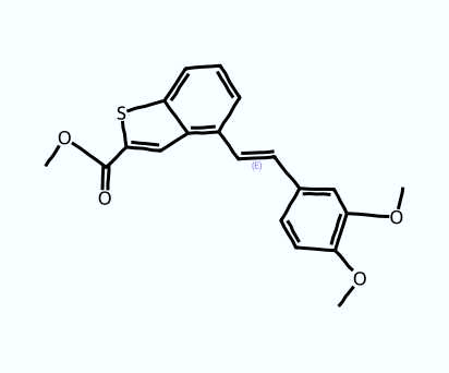 COC(=O)c1cc2c(/C=C/c3ccc(OC)c(OC)c3)cccc2s1